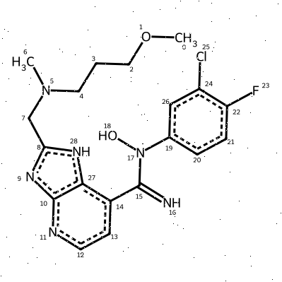 COCCCN(C)Cc1nc2nccc(C(=N)N(O)c3ccc(F)c(Cl)c3)c2[nH]1